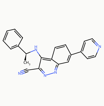 C[C@H](Nc1c(C#N)nnc2cc(-c3ccncc3)ccc12)c1ccccc1